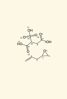 C=CCC1CO1.O=C(O)CC(C(=O)O)S(=O)(=O)O